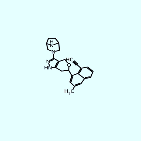 C#Cc1cccc2cc(C)cc(C3Cc4[nH]nc(N5CC6CCC(C5)N6)c4CO3)c12